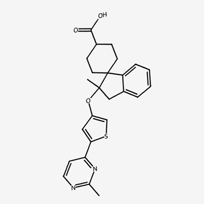 Cc1nccc(-c2cc(OC3(C)Cc4ccccc4C34CCC(C(=O)O)CC4)cs2)n1